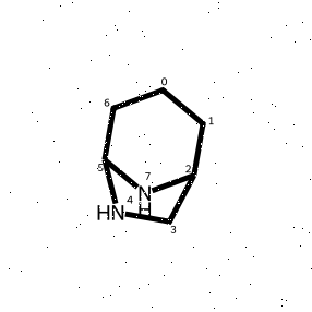 C1CC2CNC(C1)N2